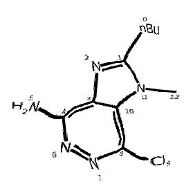 CCCCc1nc2c(N)nnc(Cl)c2n1C